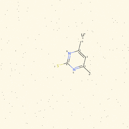 Cc1cc(C)nc([S-])n1.[Li+]